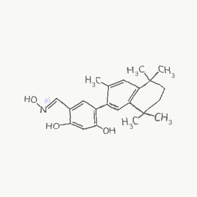 Cc1cc2c(cc1-c1cc(/C=N/O)c(O)cc1O)C(C)(C)CCC2(C)C